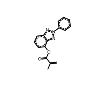 C=C(C)C(=O)Oc1cccc2nn(-c3ccccc3)nc12